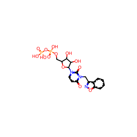 O=c1ccn(C2OC(COP(=O)(O)OP(=O)(O)O)C(O)C2O)c(=O)n1Cc1noc2ccccc12